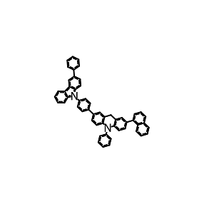 c1ccc(-c2ccc3c(c2)c2ccccc2n3-c2ccc(-c3ccc4c(c3)Cc3cc(-c5cccc6ccccc56)ccc3N4c3ccccc3)cc2)cc1